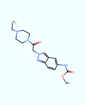 CC(C)(C)OC(=O)Nc1ccc2nn(CC(=O)N3CCN(CC(F)(F)F)CC3)cc2c1